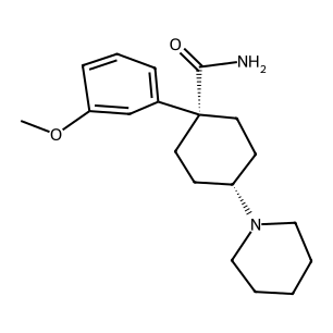 COc1cccc([C@]2(C(N)=O)CC[C@@H](N3CCCCC3)CC2)c1